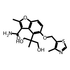 Cc1ncsc1COc1ccc2oc(C)c(C(N)=O)c2c1C(C)(CO)CO